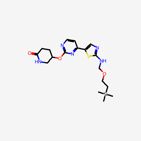 C[Si](C)(C)CCOCNc1ncc(-c2ccnc(OC3CCC(=O)NC3)n2)s1